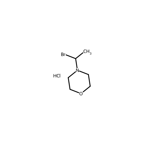 CC(Br)N1CCOCC1.Cl